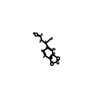 CC([CH]C=O)c1ccc2c(c1)OCO2